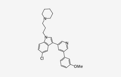 COc1cccc(-c2cncc(-c3cn(CCCN4CCCCC4)c4ccc(Cl)cc34)c2)c1